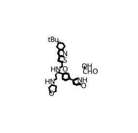 CC(C)(C)[C@H]1CCc2nc3sc(C(=O)N[C@H](CCNC4CCOCC4)c4ccc(-c5ccc(=O)[nH]c5)cc4)cc3cc2C1.O=CO